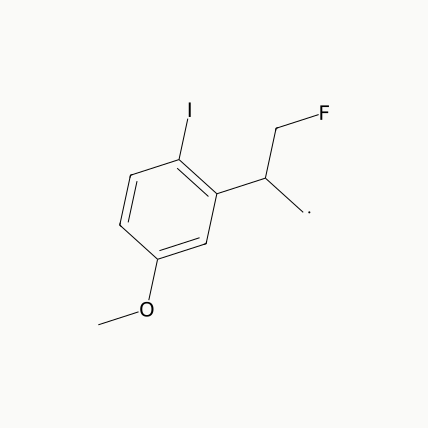 [CH2]C(CF)c1cc(OC)ccc1I